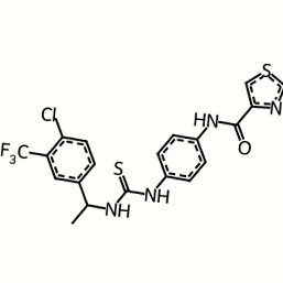 CC(NC(=S)Nc1ccc(NC(=O)c2cscn2)cc1)c1ccc(Cl)c(C(F)(F)F)c1